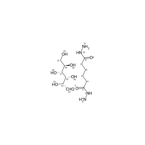 NNC(=O)CCCCC(=O)NN.O=C[C@H](O)[C@@H](O)[C@H](O)[C@H](O)CO